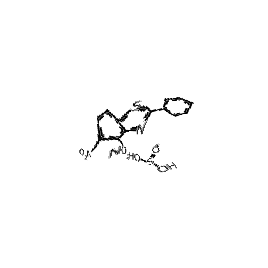 O=S(O)O.O=[N+]([O-])c1ccc2sc(-c3ccccc3)nc2c1[N+](=O)[O-]